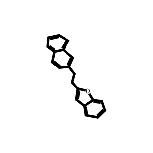 c1ccc2cc(CCc3cc4ccccc4o3)ccc2c1